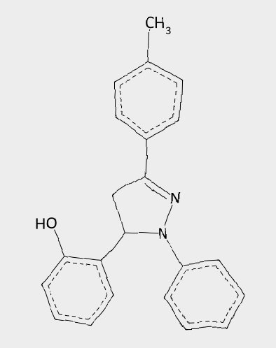 Cc1ccc(C2=NN(c3ccccc3)C(c3ccccc3O)C2)cc1